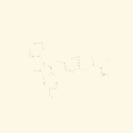 C/C(=C\c1ccc(Cn2c(-c3ccc(O)cc3)c(C)c3cc(O)ccc32)cc1)C(N)=O